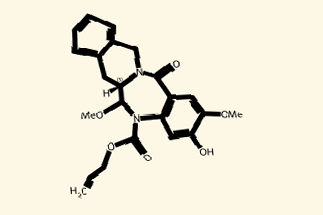 C=CCOC(=O)N1c2cc(O)c(OC)cc2C(=O)N2Cc3ccccc3C[C@H]2C1OC